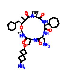 CCC[C@H]1C(=O)N[C@@H](C2CCCCCC2)C(=O)N[C@@H](CN)C(=O)N[C@@H](COC2CC3(CC(N)C3)C2)C(=O)N[C@H](C)O[C@H](CC2CCCCC2)[C@@H](C)C(=O)N1C